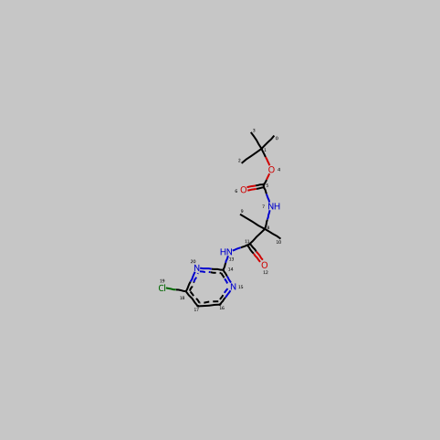 CC(C)(C)OC(=O)NC(C)(C)C(=O)Nc1nccc(Cl)n1